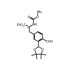 CCOC(=O)[C@H](Cc1ccc(C=O)c(B2OC(C)(C)C(C)(C)O2)c1)NC(=O)OC(C)(C)C